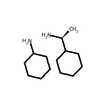 C[C@H](N)C1CCCCC1.NC1CCCCC1